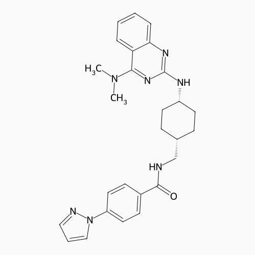 CN(C)c1nc(N[C@H]2CC[C@@H](CNC(=O)c3ccc(-n4cccn4)cc3)CC2)nc2ccccc12